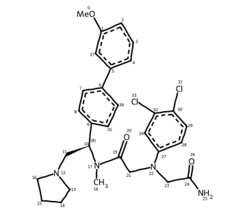 COc1cccc(-c2ccc([C@H](CN3CCCC3)N(C)C(=O)CN(CC(N)=O)c3ccc(Cl)c(Cl)c3)cc2)c1